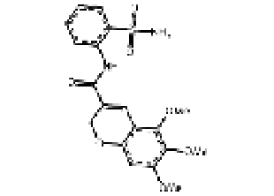 COc1cc2c(c(OC)c1OC)C=C(C(=O)Nc1ccccc1S(N)(=O)=O)CO2